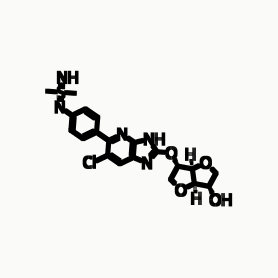 CS(C)(=N)=Nc1ccc(-c2nc3[nH]c(O[C@@H]4CO[C@H]5[C@@H]4OC[C@H]5O)nc3cc2Cl)cc1